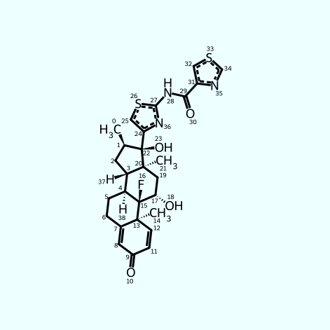 C[C@@H]1C[C@H]2[C@@H]3CCC4=CC(=O)C=C[C@]4(C)[C@@]3(F)[C@@H](O)C[C@]2(C)[C@@]1(O)c1csc(NC(=O)c2cscn2)n1